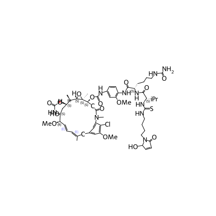 COc1cc(NC(=O)O[C@H]2CC(=O)N(C)c3cc(cc(OC)c3Cl)C/C(C)=C/C=C/[C@@H](OC)[C@@]3(O)C[C@H](OC(=O)N3)[C@@H](C)[C@@H]3O[C@@]23C)ccc1NC(=O)[C@H](CCCCNC(N)=O)NC(=O)[C@@H](NC(=S)NCCCCN1C(=O)C=CC1O)C(C)C